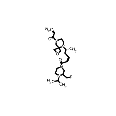 C=CC(=O)N1CCN([C@H](C)C/C=C\C(=O)N2CCN(C(C)C)C(CF)C2)C2(COC2)C1